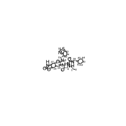 C=CCN1CC(=O)N2C(CN(Cc3cccc4scnc34)C(=O)[C@@H]2Cc2ccc3[nH]c(=O)oc3c2)N1C(=O)NCc1ccccc1